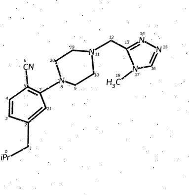 CC(C)Cc1ccc(C#N)c(N2CCN(Cc3nncn3C)CC2)c1